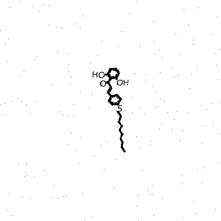 CCCCCCCCCCSc1ccc(C=CC(=O)c2c(O)cccc2O)cc1